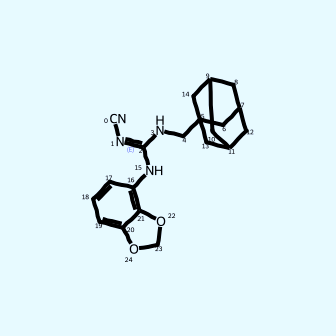 N#C/N=C(\NCC12CC3CC(CC(C3)C1)C2)Nc1cccc2c1OCO2